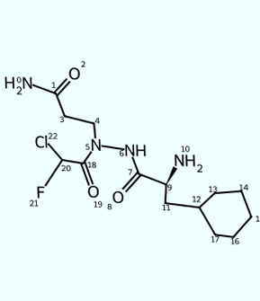 NC(=O)CCN(NC(=O)[C@@H](N)CC1CCCCC1)C(=O)C(F)Cl